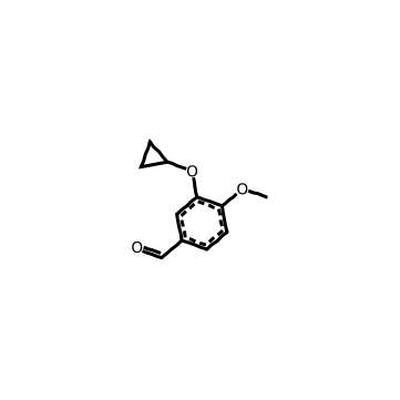 COc1ccc(C=O)cc1OC1CC1